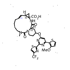 COc1ccsc1-c1cc(OC2CCN3C(=O)N(C)CCCC/C=C/[C@@H]4C[C@@]4(C(=O)O)NC(=O)[C@@H]3C2)nc(-c2nc(C(F)(F)F)cs2)n1